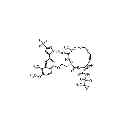 COc1ccc2c(OCC[C@@H]3NC(=O)N(C)CCCC/C=C\[C@@H]4C[C@@]4(C(=O)NS(=O)(=O)C4(C)CC4)NC3=O)cc(-c3cc(C(F)(F)F)nn3C)nc2c1C